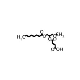 CCCCCCCC(=O)OCC(COC)OC(=O)CCC(=O)O